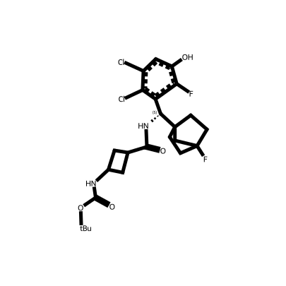 CC(C)(C)OC(=O)NC1CC(C(=O)N[C@H](c2c(F)c(O)cc(Cl)c2Cl)C23CCC(F)(CC2)C3)C1